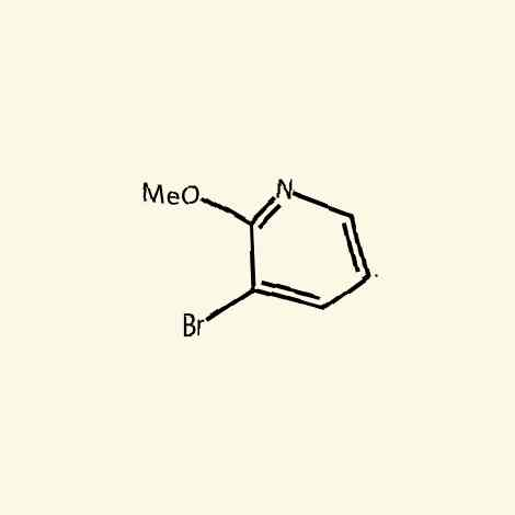 COc1nc[c]cc1Br